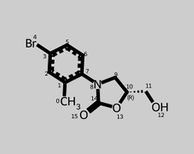 Cc1cc(Br)ccc1N1C[C@H](CO)OC1=O